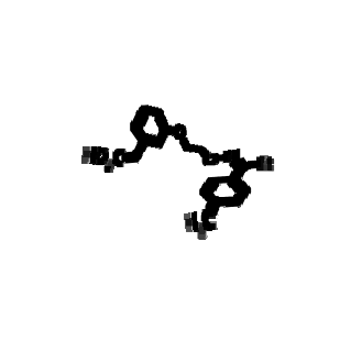 CCC(=NOCCOc1cccc(CC(=O)O)c1)c1ccc(C)cc1